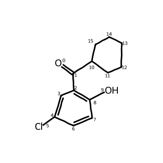 O=C(c1cc(Cl)ccc1O)C1CCCCC1